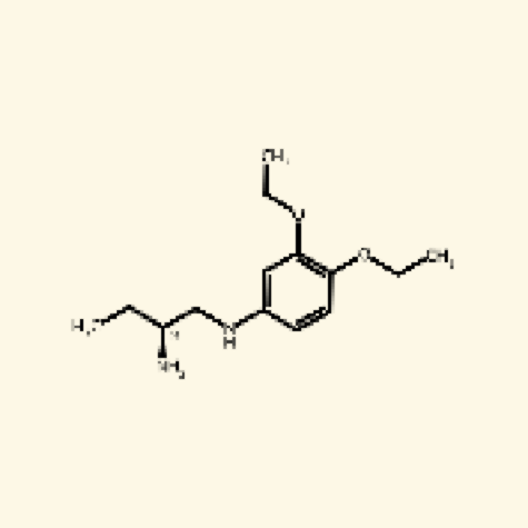 CCOc1ccc(NC[C@@H](N)CC)cc1OCC